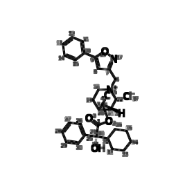 O=C(O[C@H]1C[N+]2(Cc3cc(-c4ccccc4)on3)CCC1CC2)[C@](O)(c1ccccc1)C1CCCCC1.[Cl-]